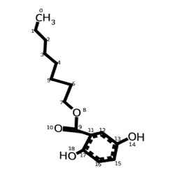 CCCCCCCCOC(=O)c1cc(O)ccc1O